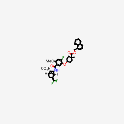 COc1cc(F)c(OC2CCC(C)(C(=O)OCc3cccc4ccccc34)CC2)cc1C(=O)N[C@H]1[C@@H](C(=O)O)[C@@H]2CC(=C(F)F)[C@H]1C2